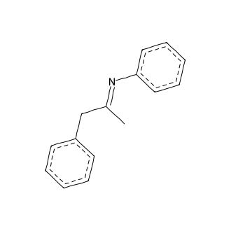 C/C(Cc1ccccc1)=N\c1ccccc1